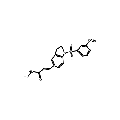 COc1cccc(S(=O)(=O)N2CCc3cc(C=CC(=O)NO)ccc32)c1